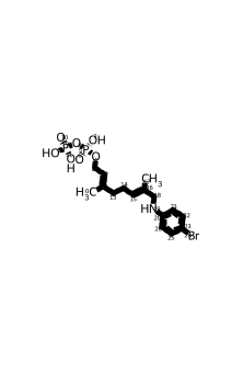 CC(=CCOP(=O)(O)OP(=O)(O)O)CCC=C(C)CNc1ccc(Br)cc1